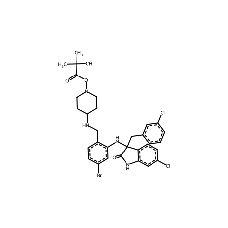 CC(C)(C)C(=O)ON1CCC(NCc2ccc(Br)cc2NC2(Cc3cccc(Cl)c3)C(=O)Nc3cc(Cl)ccc32)CC1